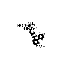 COc1ccc(-c2nc(CC(=O)NC(C)(C)C(=O)O)cs2)c(-c2ccccc2)c1